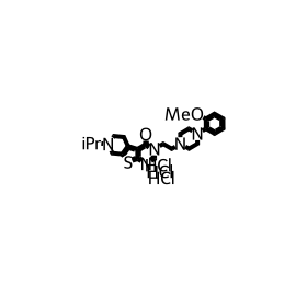 COc1ccccc1N1CCN(CCn2cnc3sc4c(c3c2=O)CCN(C(C)C)C4)CC1.Cl.Cl.Cl